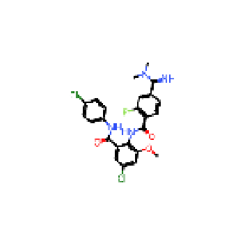 COc1cc(Cl)cc(C(=O)Nc2ccc(Cl)cc2)c1NC(=O)c1ccc(C(=N)N(C)C)cc1F